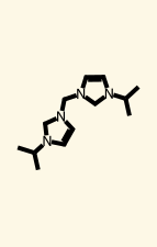 CC(C)N1C=CN(CN2C=CN(C(C)C)C2)C1